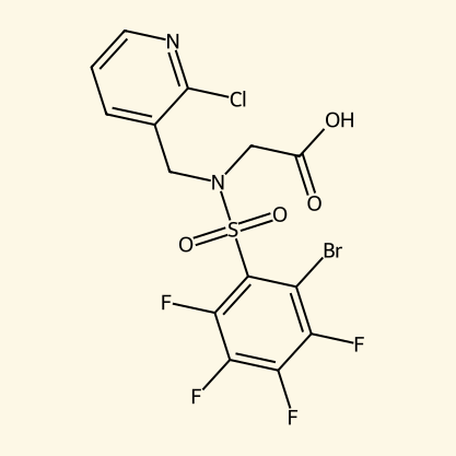 O=C(O)CN(Cc1cccnc1Cl)S(=O)(=O)c1c(F)c(F)c(F)c(F)c1Br